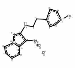 C[n+]1ccc(CCNc2nn3ccccc3c2N)cc1.Cl.[Cl-]